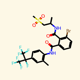 Cc1cc(C(F)(C(F)(F)F)C(F)(F)F)ccc1NC(=O)c1cccc(Br)c1C(=O)NC(C)CS(C)(=O)=O